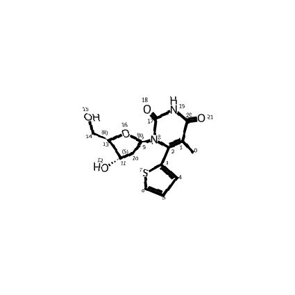 Cc1c(-c2cccs2)n([C@H]2C[C@H](O)[C@@H](CO)O2)c(=O)[nH]c1=O